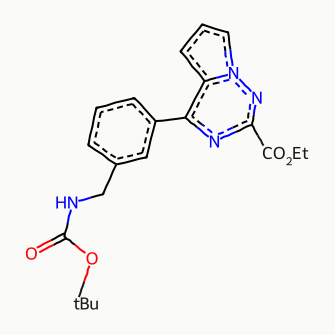 CCOC(=O)c1nc(-c2cccc(CNC(=O)OC(C)(C)C)c2)c2cccn2n1